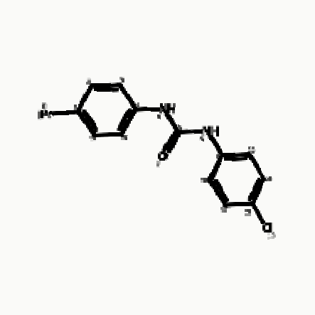 CC(C)c1ccc(NC(=O)Nc2ccc(Cl)cc2)cc1